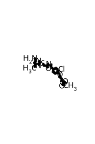 Cc1cc(N)nc(SCc2ncc(-c3ccc(OCCCS(C)(=O)=O)c(Cl)c3)o2)n1